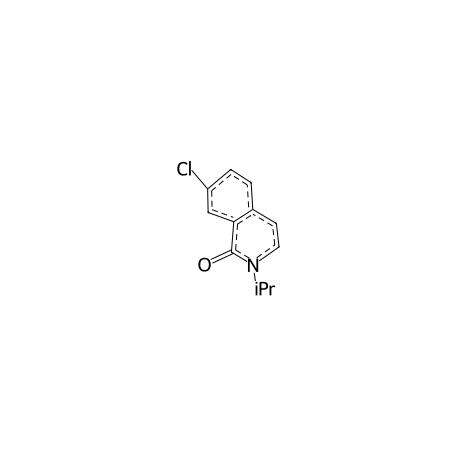 CC(C)n1ccc2ccc(Cl)cc2c1=O